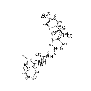 CCN(C1CCN(CCNC(=O)Nc2cc(C)nc3ccccc23)CC1)S(=O)(=O)c1ccc(Br)cc1